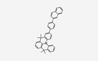 CC1(C)c2ccccc2N2c3ccc(-c4ccc(-c5ccc6ccccc6c5)cc4)cc3C(C)(C)c3cccc1c32